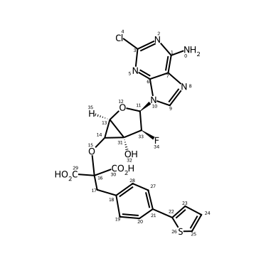 Nc1nc(Cl)nc2c1ncn2[C@@H]1O[C@@H]2C(OC(Cc3ccc(-c4cccs4)cc3)(C(=O)O)C(=O)O)[C@]2(O)[C@@H]1F